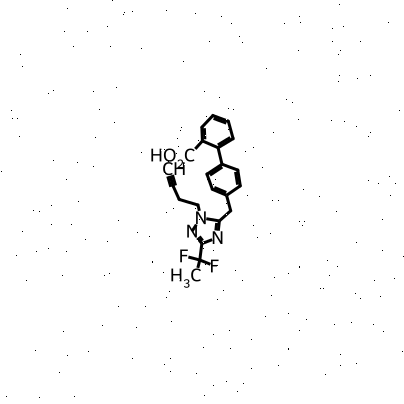 C#CCCn1nc(C(C)(F)F)nc1Cc1ccc(-c2ccccc2C(=O)O)cc1